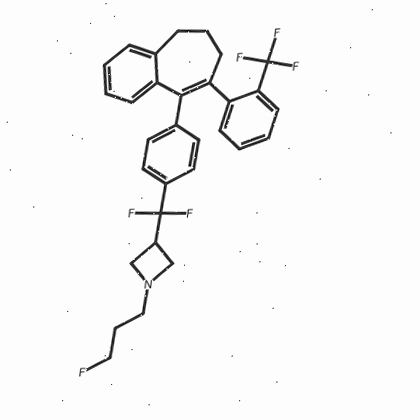 FCCCN1CC(C(F)(F)c2ccc(C3=C(c4ccccc4C(F)(F)F)CCCc4ccccc43)cc2)C1